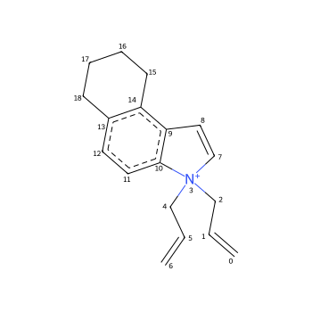 C=CC[N+]1(CC=C)C=Cc2c1ccc1c2CCCC1